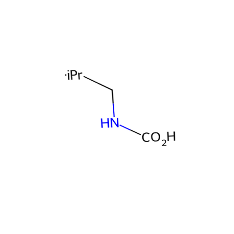 C[C](C)CNC(=O)O